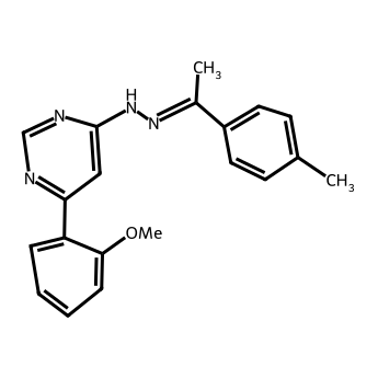 COc1ccccc1-c1cc(N/N=C(\C)c2ccc(C)cc2)ncn1